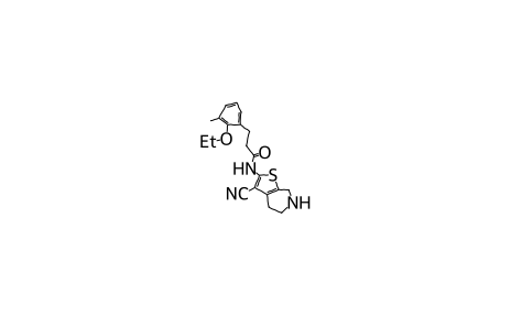 CCOc1c(C)cccc1CCC(=O)Nc1sc2c(c1C#N)CCNC2